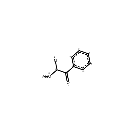 COC(Cl)C(=O)c1ccccc1